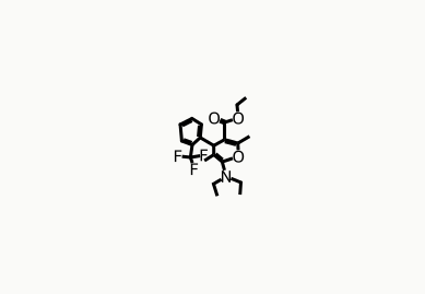 CCOC(=O)C1=C(C)OC(N(CC)CC)=C(C)C1c1ccccc1C(F)(F)F